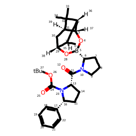 C[C@@H]1[C@H]2[C@@H]3OB([C@@H]4CCCN4C(=O)[C@@H]4CC[C@H](c5ccccc5)N4C(=O)OC(C)(C)C)O[C@@H]1C[C@H]3C2(C)C